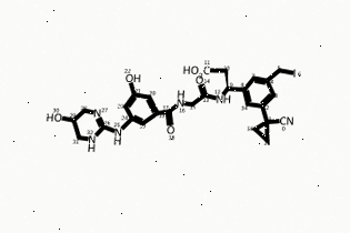 N#CC1(c2cc(CI)cc([C@H](CC(=O)O)NC(=O)CNC(=O)c3cc(O)cc(NC4=NCC(O)CN4)c3)c2)CC1